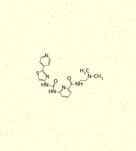 CN(C)CCNC(=O)c1cccc(NC(=O)Nc2csc(-c3ccncc3)n2)n1